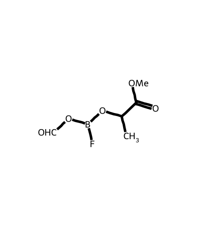 COC(=O)C(C)OB(F)OC=O